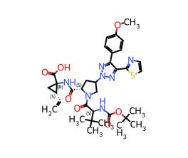 C=C[C@@H]1C[C@]1(NC(=O)[C@@H]1CC(n2nc(-c3ccc(OC)cc3)c(-c3nccs3)n2)CN1C(=O)[C@@H](NC(=O)OC(C)(C)C)C(C)(C)C)C(=O)O